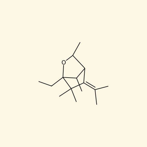 CCC12OC(C)C(C(=C(C)C)C1(C)C)C2C